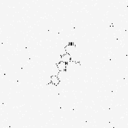 Cc1ccc(-c2nc3cc(CN)cc(N)n3n2)o1